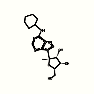 C[C@@]1(n2cnc3c(NC4CCCCC4)ncnc32)O[C@H](CO)[C@@H](O)[C@H]1O